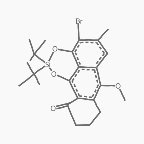 COc1c2c(c3c4c(c(Br)c(C)cc14)O[Si](C(C)(C)C)(C(C)(C)C)O3)C(=O)CCC2